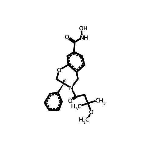 COC(C)(C)CC(=O)N1Cc2ccc(C(=O)NO)cc2OC[C@@H]1c1ccccc1